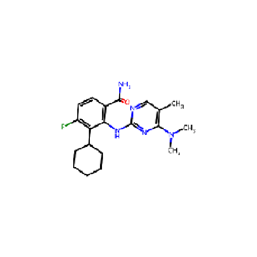 Cc1cnc(Nc2c(C(N)=O)ccc(F)c2C2CCCCC2)nc1N(C)C